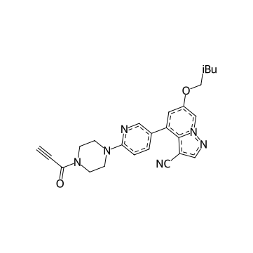 C#CC(=O)N1CCN(c2ccc(-c3cc(OCC(C)CC)cn4ncc(C#N)c34)cn2)CC1